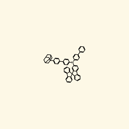 c1ccc(-c2ccc(N(c3ccc(-c4ccc(C56CC7CC(CC(C7)C5)C6)cc4)cc3)c3ccc4c(c3)C3(c5ccccc5-c5ccccc53)c3ccccc3-4)cc2)cc1